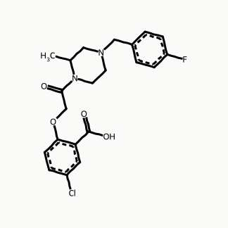 CC1CN(Cc2ccc(F)cc2)CCN1C(=O)COc1ccc(Cl)cc1C(=O)O